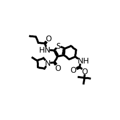 CCCC(=O)Nc1sc2c(c1C(=O)N1CCC(C)C1)CC(NC(=O)OC(C)(C)C)CC2